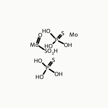 OP(O)(O)=S.OP(O)(O)=S.[Mo].[O]=[Mo][S](=O)(=O)O